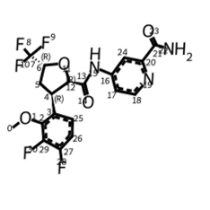 COc1c([C@H]2C[C@H](C(F)(F)F)O[C@H]2C(=O)Nc2ccnc(C(N)=O)c2)ccc(F)c1F